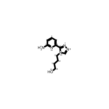 Nc1cccc(-c2nncn2CCCCO)n1